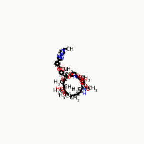 C#CCN1CCN(c2ncc(-c3cccc(CO[C@@H]4CC[C@@H](C[C@@H](C)[C@@H]5CC(=O)[C@H](C)/C=C(\C)[C@@H](O)[C@@H](OC)C(=O)[C@H](C)C[C@H](C)/C=C/C=C/C=C(\C)C(NC(=O)OC)C[C@@H]6CC[C@@H](C)[C@@](O)(O6)C(=O)C(=O)N6CCCC[C@H]6C(=O)O5)C[C@H]4OC)c3)cn2)CC1